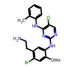 COc1cc(Br)c(CCN)cc1Nc1ncc(Cl)c(Nc2ccccc2C)n1